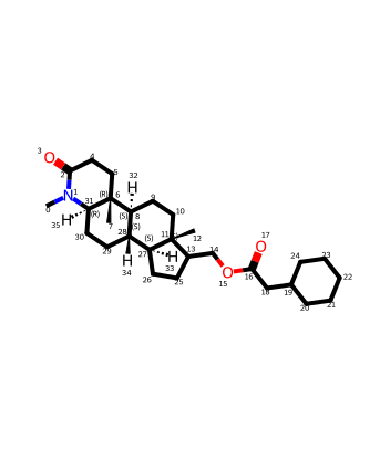 CN1C(=O)CC[C@]2(C)[C@H]3CC[C@]4(C)C(COC(=O)CC5CCCCC5)CC[C@H]4[C@@H]3CC[C@@H]12